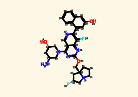 N[C@H]1C[C@H](O)CN(c2nc(OC[C@@]34CCCN3C[C@H](F)C4)nc3c(F)c(-c4cc(O)cc5ccccc45)ncc23)C1